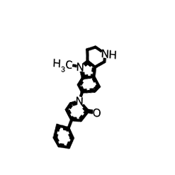 Cn1c2c(c3ccc(-n4ccc(-c5ccccc5)cc4=O)cc31)CNCC2